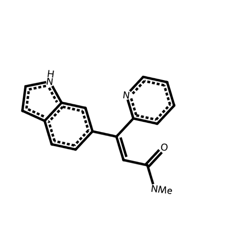 CNC(=O)/C=C(/c1ccc2cc[nH]c2c1)c1ccccn1